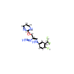 N=N/C(=C\Nc1ccc(F)c(C(F)F)c1)COc1ncccn1